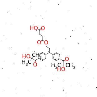 CC(C)(O)C(=O)c1ccc(C(CCOC(=O)CCC(=O)O)c2ccc(C(=O)C(C)(C)O)cc2)cc1